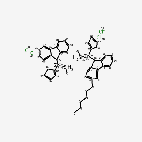 CCCCCCc1ccc2c(c1)-c1ccccc1[CH]2[Zr+2]([SiH2]C)[C]1=CC=CC1.C[SiH2][Zr+2]([C]1=CC=CC1)[CH]1c2ccccc2-c2ccccc21.[Cl-].[Cl-].[Cl-].[Cl-]